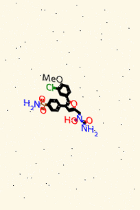 COc1ccc(-c2oc(CN(O)C(N)=O)cc2-c2ccc(S(N)(=O)=O)cc2)cc1Cl